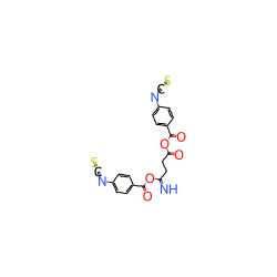 N=C(CCC(=O)OC(=O)c1ccc(N=C=S)cc1)OC(=O)c1ccc(N=C=S)cc1